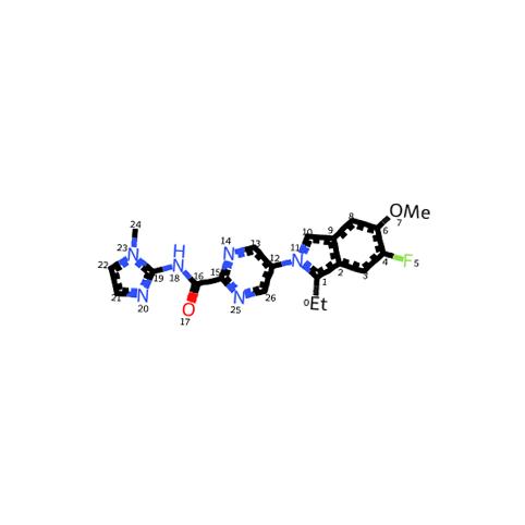 CCc1c2cc(F)c(OC)cc2cn1-c1cnc(C(=O)Nc2nccn2C)nc1